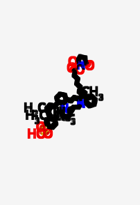 C=C(C=CC1=C(N2CCCCC2)C(=CC=C2N(CCC)c3ccccc3C2(C)CCCCCC(=O)ON2C(=O)CCC2=O)CCC1)C(C)(C)c1cc(S(=O)(=O)O)ccc1C